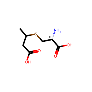 CC(CC(=O)O)SC[C@H](N)C(=O)O